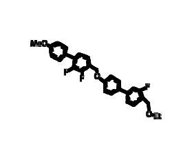 CCOCc1ccc(-c2ccc(OCc3ccc(-c4ccc(OC)cc4)c(F)c3F)cc2)cc1F